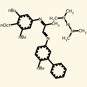 CCCCCCCCc1c(CCCC)cc(N=C(C)C=Nc2ccc(CCCC)c(-c3ccccc3)c2)cc1CCCC.C[N](C)[Ni][N](C)C